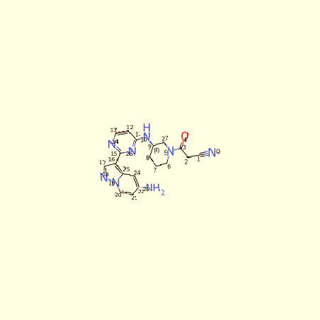 N#CCC(=O)N1CCC[C@@H](Nc2ccnc(-c3cnn4ccc(N)cc34)n2)C1